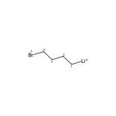 [Li][CH2]CCCBr